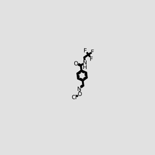 O=C(NCC(F)(F)F)c1ccc(C=NOCl)cc1